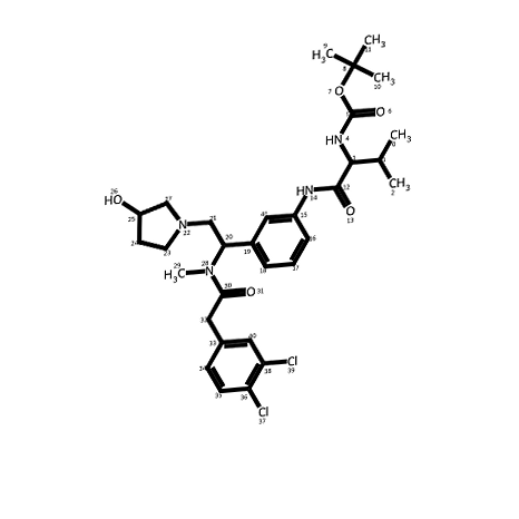 CC(C)C(NC(=O)OC(C)(C)C)C(=O)Nc1cccc(C(CN2CCC(O)C2)N(C)C(=O)Cc2ccc(Cl)c(Cl)c2)c1